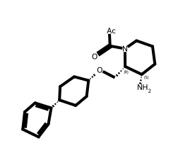 CC(=O)C(=O)N1CCC[C@H](N)[C@@H]1CO[C@H]1CC[C@@H](c2ccccc2)CC1